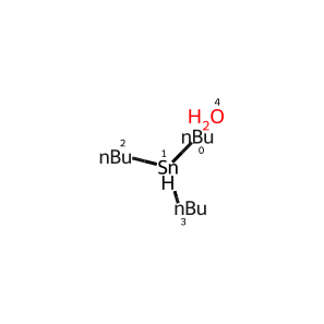 CCC[CH2][SnH]([CH2]CCC)[CH2]CCC.O